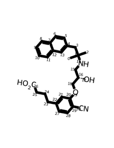 CC(C)(Cc1ccc2ccccc2c1)NC[C@H](O)COc1cc(CCCC(=O)O)ccc1C#N